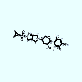 N[C@H]1C[C@@H](N2Cc3cn(S(=O)(=O)C4CC4)nc3C2)CO[C@@H]1c1cc(F)c(F)cc1F